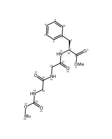 COC(=O)[C@H](Cc1ccccc1)NC(=O)CNC(=O)CNC(=O)OC(C)(C)C